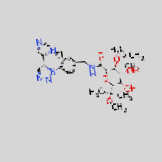 COC(C)(C)[C@@H]1OC(C(=O)NCc2ccc(-n3nncc3-c3cncn3C)cc2)[C@@H](OC(C)(C)C)[C@H](O)[C@@H]1O